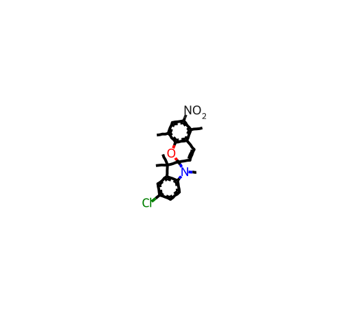 Cc1cc([N+](=O)[O-])c(C)c2c1OC1(C=C2)N(C)c2ccc(Cl)cc2C1(C)C